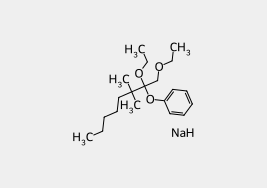 CCCCCC(C)(C)C(COCC)(OCC)Oc1ccccc1.[NaH]